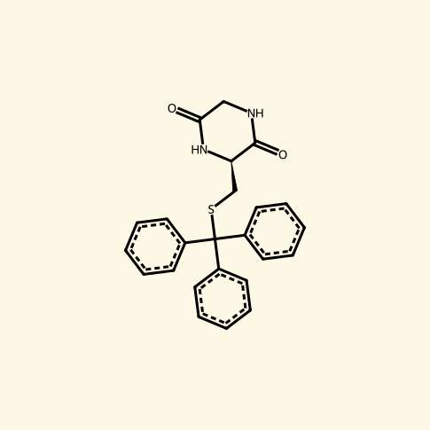 O=C1CNC(=O)[C@@H](CSC(c2ccccc2)(c2ccccc2)c2ccccc2)N1